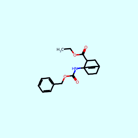 CCOC(=O)C1CC2C=CC1(NC(=O)OCc1ccccc1)CC2